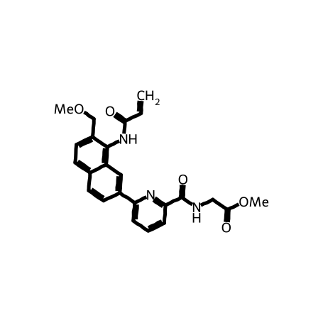 C=CC(=O)Nc1c(COC)ccc2ccc(-c3cccc(C(=O)NCC(=O)OC)n3)cc12